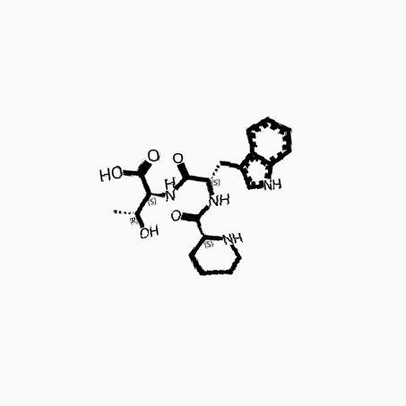 C[C@@H](O)[C@H](NC(=O)[C@H](Cc1c[nH]c2ccccc12)NC(=O)[C@@H]1CCCCN1)C(=O)O